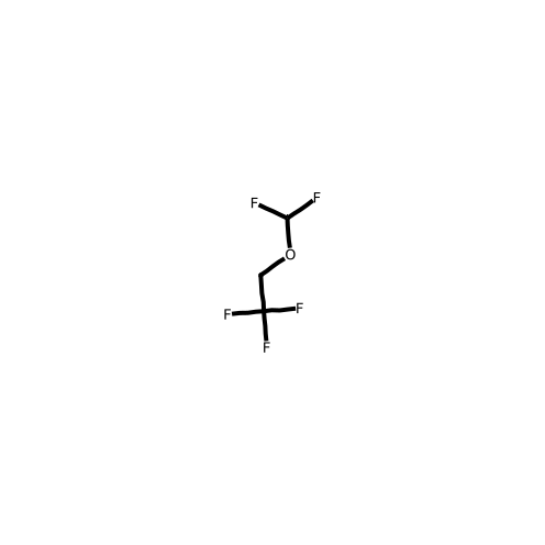 F[C](F)OCC(F)(F)F